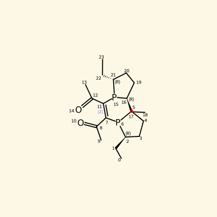 CC[C@@H]1CCCP1/C(C(C)=O)=C(/C(C)=O)P1[C@H](CC)CC[C@H]1CC